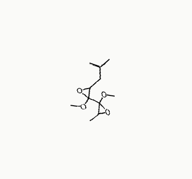 COC1(C2(OC)OC2CC(C)C)OC1C